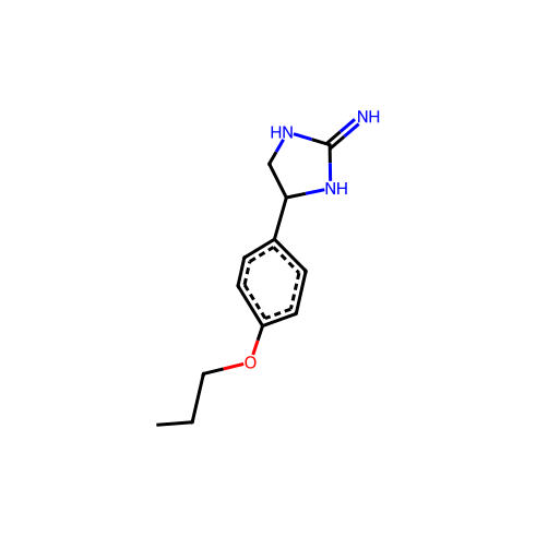 CCCOc1ccc(C2CNC(=N)N2)cc1